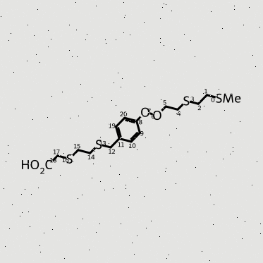 CSCCSCCOOc1ccc(CSCCSCC(=O)O)cc1